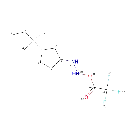 CCC(C)(C)C1CCC(NNOC(=O)C(F)(F)F)C1